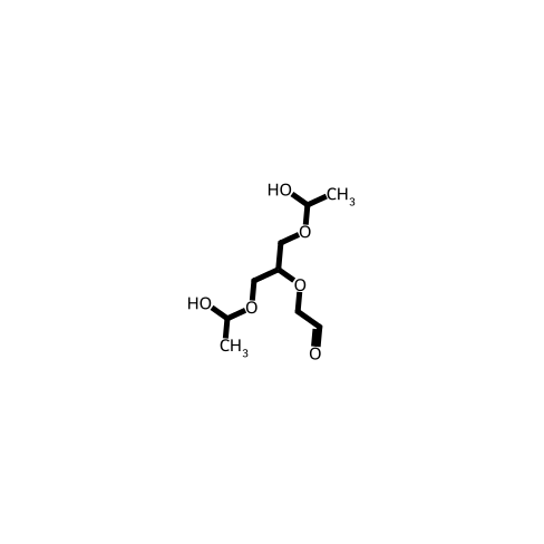 CC(O)OCC(COC(C)O)OCC=O